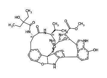 CCC(O)(CC)C(=O)N[C@H]1Cc2ccc3c(c2)C24c5cccc(c5NC2O3)-c2ccc(O)c3[nH]cc(c23)-c2oc(nc2C(=O)OC)-c2nc(oc24)[C@H](C(C)C)NC1=O